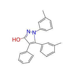 Cc1cccc(-c2c(-c3ccccc3)c(O)nn2-c2cccc(C)c2)c1